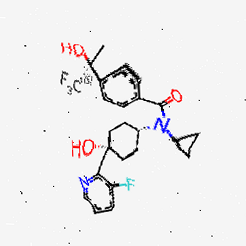 C[C@](O)(c1ccc(C(=O)N(C2CC2)[C@H]2CC[C@](O)(c3ncccc3F)CC2)cc1)C(F)(F)F